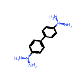 NN(N)c1ccc(-c2ccc(N(N)N)cc2)cc1